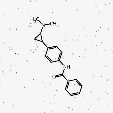 CN(C)C1CC1c1ccc(NC(=O)c2ccccc2)cc1